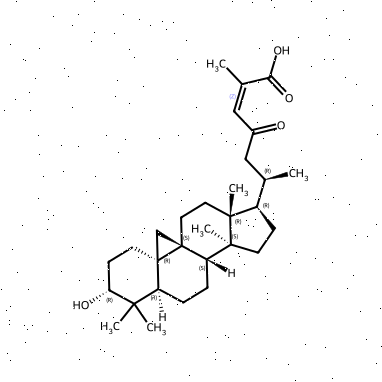 C/C(=C/C(=O)C[C@@H](C)[C@H]1CC[C@@]2(C)[C@@H]3CC[C@H]4C(C)(C)[C@H](O)CC[C@@]45C[C@@]35CC[C@]12C)C(=O)O